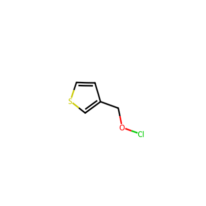 ClOCc1ccsc1